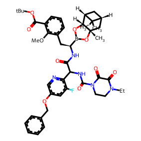 CCN1CCN(C(=O)NC(C(=O)N[C@@H](Cc2cccc(C(=O)OC(C)(C)C)c2OC)B2O[C@@H]3[C@@H]4C[C@H](C[C@]3(C)O2)C4(C)C)c2ncc(OCc3ccccc3)cc2F)C(=O)C1=O